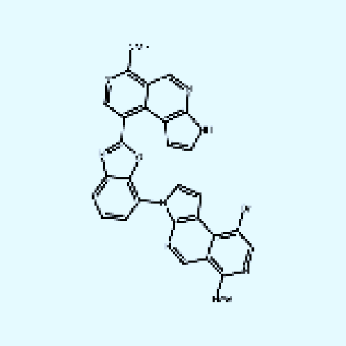 CNc1ncc(-c2nc3cccc(-n4ccc5c6c(Br)cnc(NC)c6cnc54)c3o2)c2c1cnc1[nH]ccc12